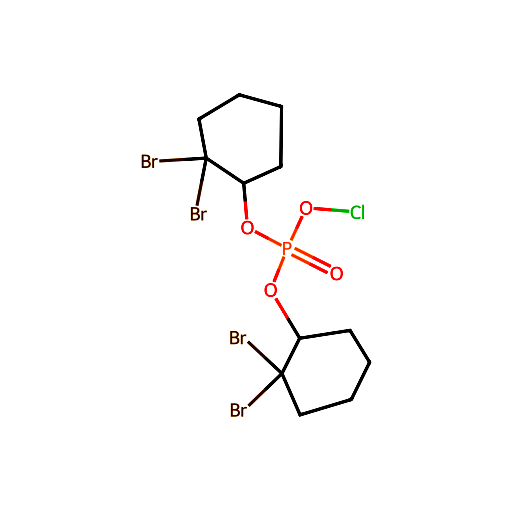 O=P(OCl)(OC1CCCCC1(Br)Br)OC1CCCCC1(Br)Br